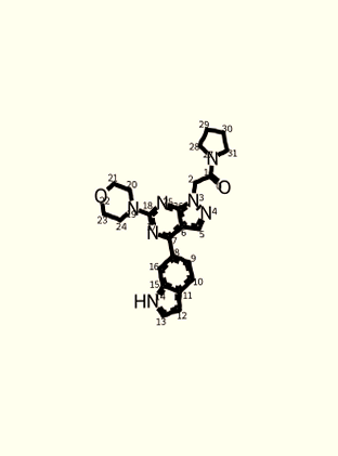 O=C(Cn1ncc2c(-c3ccc4cc[nH]c4c3)nc(N3CCOCC3)nc21)N1CCCC1